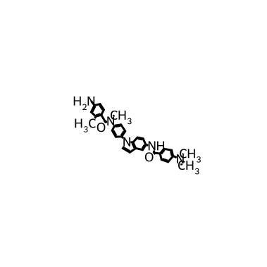 Cc1cc(N)ccc1C(=O)N(C)c1ccc(-n2ccc3cc(NC(=O)c4ccc(N(C)C)cc4)ccc32)cc1